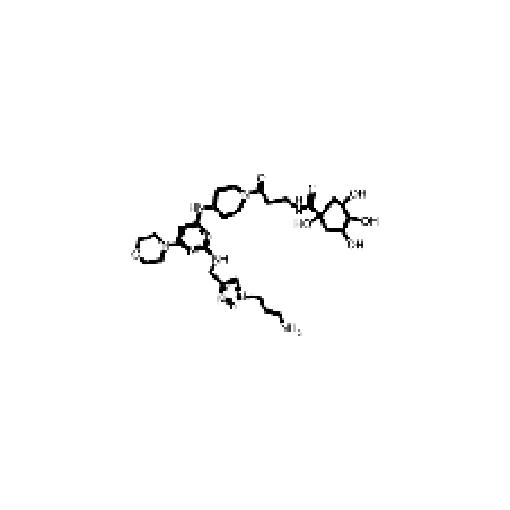 NCCCn1cc(CNc2nc(NC3CCN(C(=O)CCNC(=O)C4(O)CC(O)C(O)C(O)C4)CC3)cc(N3CCOCC3)n2)nn1